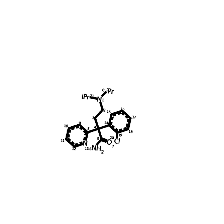 CC(C)N(CCC(C(N)=O)(c1ccccn1)c1ccccc1Cl)C(C)C